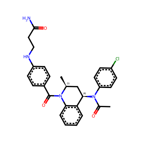 CC(=O)N(c1ccc(Cl)cc1)[C@@H]1C[C@H](C)N(C(=O)c2ccc(NCCC(N)=O)cc2)c2ccccc21